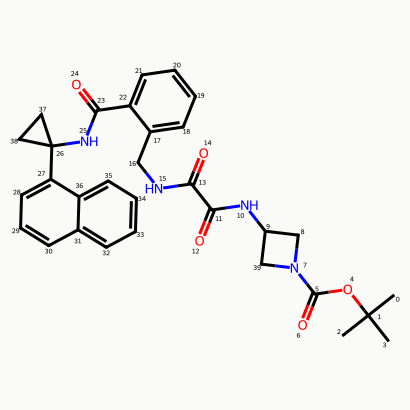 CC(C)(C)OC(=O)N1CC(NC(=O)C(=O)NCc2ccccc2C(=O)NC2(c3cccc4ccccc34)CC2)C1